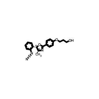 C[C@H]1N=C(c2ccc(OCCCO)cc2)O[C@H]1c1ccccc1N=[N+]=[N-]